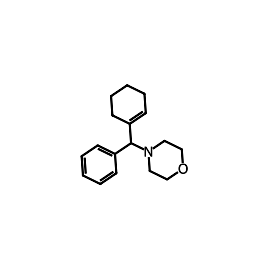 C1=C(C(c2ccccc2)N2CCOCC2)CCCC1